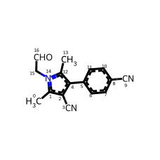 Cc1c(C#N)c(-c2ccc(C#N)cc2)c(C)n1CC=O